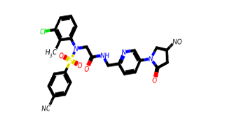 Cc1c(Cl)cccc1N(CC(=O)NCc1ccc(N2CC(N=O)CC2=O)cn1)S(=O)(=O)c1ccc(C#N)cc1